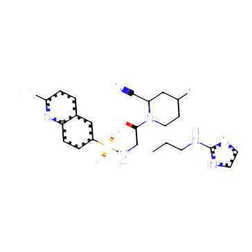 Cc1ccc2cc(S(=O)(=O)N[C@@H](CCCNc3ncc[nH]3)C(=O)N3CCC(C)CC3C#N)ccc2n1